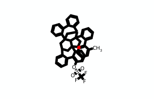 Cc1ccccc1-c1ccccc1C12CCC34CC(CC5(CC1c1ccccc1-c1ccccc15)C32)c1ccccc1-c1c(OS(=O)(=O)C(F)(F)F)cccc14